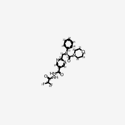 O=C(NNC(=O)C(F)F)c1cnc(CN(C(=O)N2CCOCC2)c2ccccc2)nc1